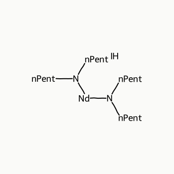 CCCCC[N](CCCCC)[Nd][N](CCCCC)CCCCC.I